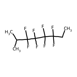 CCC(F)(F)C(F)(F)C(F)(F)C(F)(F)C(C)C